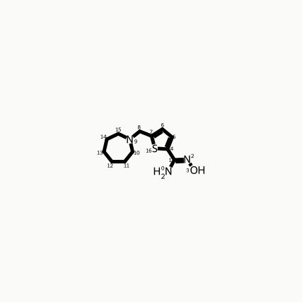 NC(=NO)c1ccc(CN2CCCCCC2)s1